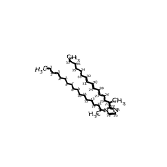 CCCCCCCCCCCCCCCCC(C)n1ccnc1C(C)CCCCCCCCCCCCCC